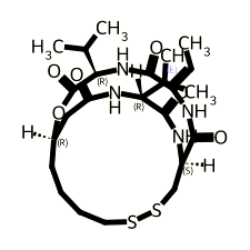 C/C=C1/NC(=O)[C@H]2CSSCCCC[C@H](CC(=O)N[C@H](C(C)C)C(=O)N2)OC(=O)[C@@H](C(C)C)NC1=O